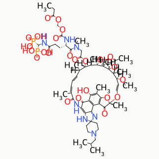 CCC(=O)OCOC(=O)N[C@@H](CCC(=O)NC(P(=O)(O)O)P(=O)(O)O)C(=O)N(C)CC(=O)O[C@@H]1[C@@H](C)[C@@H](O)[C@@H](C)[C@H](OC(C)=O)[C@H](C)[C@@H](OC)/C=C/O[C@@]2(C)Oc3c(C)c(O)c4c(c3C2=O)C2=NC3(CCN(CC(C)C)CC3)NC2=C(NC(=O)/C(C)=C\C=C\[C@@H]1C)C4=O